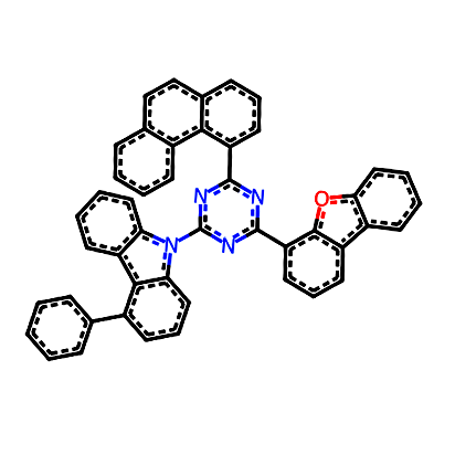 c1ccc(-c2cccc3c2c2ccccc2n3-c2nc(-c3cccc4c3oc3ccccc34)nc(-c3cccc4ccc5ccccc5c34)n2)cc1